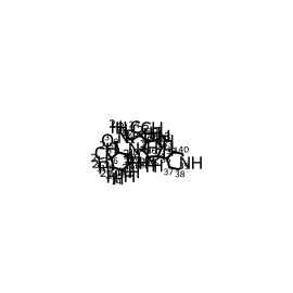 [2H]N1C(=O)C2([2H])C([2H])(Cl)C([2H])([2H])C([2H])([2H])C([2H])([2H])C2([2H])N2C1([2H])C(C)(C)C1([2H])C([2H])([2H])C([2H])([2H])C([2H])(C3CCNCC3)C([2H])([2H])C21[2H]